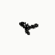 CC1Cc2c(OCc3ccc(-c4ccccc4)cn3)ccc3c2c(c(CSCC(C)(C)C(=O)O)n3Cc2ccc(Cl)cc2)S1